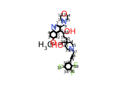 COc1ccc2ncc(CN3CCOCC3)c([C@H](O)CCC3(CO)CCN(CC#Cc4cc(F)cc(F)c4F)CC3)c2c1